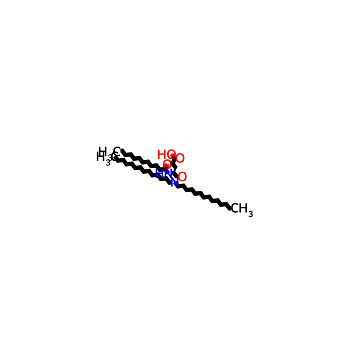 CCCCCCCCCCCCCCN(CCCCCCCCCCCCCC)C(=O)[C@H](CCC(=O)O)NC(=O)CCCCCCCCCCC